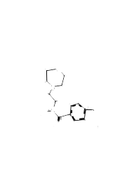 Cc1cc(C(=O)N(C)CCN2CCOCC2)ccc1Br